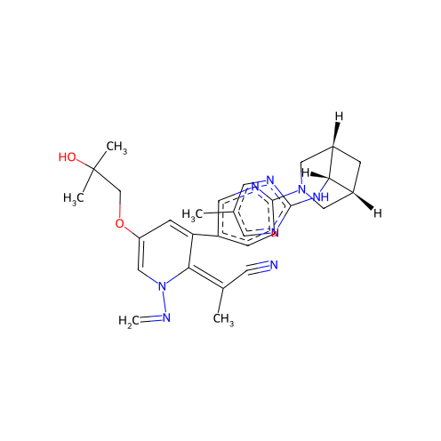 C=NN1C=C(OCC(C)(C)O)C=C(c2ccc(N3C[C@H]4C[C@@H](C3)[C@H]4Nc3ncc(C)cn3)nc2)/C1=C(/C)C#N